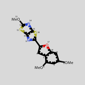 COc1cc(OC)c2cc(-c3nc4sc(OC)nc4s3)oc2c1